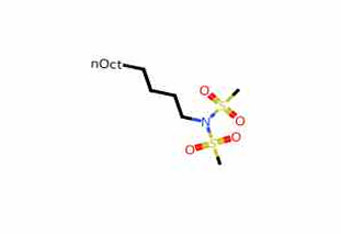 CCCCCCCCCCCCN(S(C)(=O)=O)S(C)(=O)=O